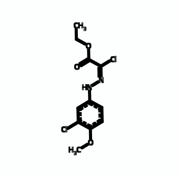 CCOC(=O)/C(Cl)=N\Nc1ccc(OC)c(Cl)c1